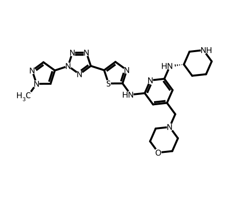 Cn1cc(-n2nnc(-c3cnc(Nc4cc(CN5CCOCC5)cc(N[C@H]5CCCNC5)n4)s3)n2)cn1